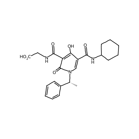 C[C@H](c1ccccc1)n1cc(C(=O)NC2CCCCC2)c(O)c(C(=O)NCC(=O)O)c1=O